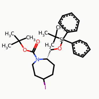 CC(C)(C)OC(=O)N1CCC(I)CC[C@H]1CO[Si](c1ccccc1)(c1ccccc1)C(C)(C)C